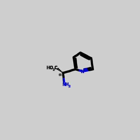 N[C@H](C(=O)O)c1ccccn1